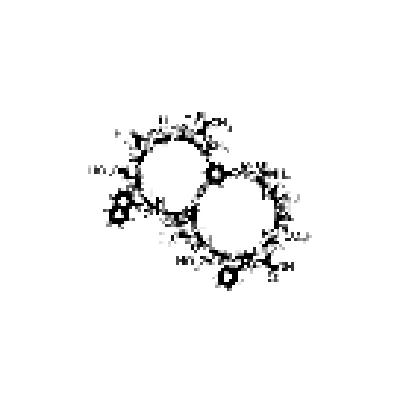 CC[C@H](O)C(C)C[C@@H]1NC(=O)[C@H](Cc2ccccc2)NC(=O)[C@H](CC(=O)O)NC(=O)[C@H](CCC(=O)O)NC(=O)[C@H]2CSCc3cc(cc(c3)CN(C)C[C@H](NC(=O)[C@H](C)N)C(=O)N[C@H](C)C(=O)N[C@@H](CC(N)=O)C(=O)N[C@@H](CCC(=O)O)C(=O)N[C@@H](Cc3cccc4ccccc34)C(=O)N[C@H](C)C(=O)N2)CN(C)C[C@@H](C(N)=O)NC(=O)[C@H](C(C)(C)C)NC(=O)[C@H](CC(=O)O)NC1=O